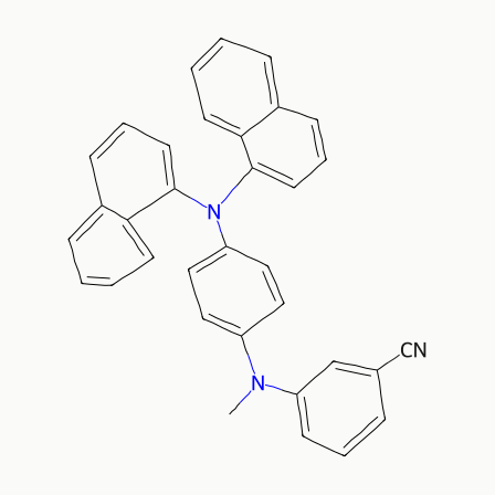 CN(c1ccc(N(c2cccc3ccccc23)c2cccc3ccccc23)cc1)c1cccc(C#N)c1